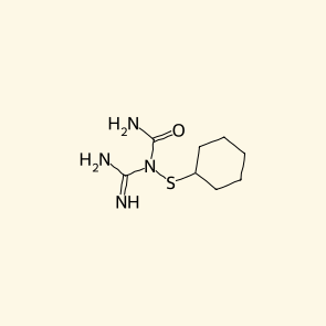 N=C(N)N(SC1CCCCC1)C(N)=O